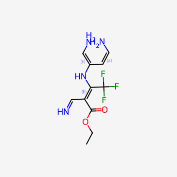 CCOC(=O)/C(C=N)=C(/NC(/C=C\N)=C/N)C(F)(F)F